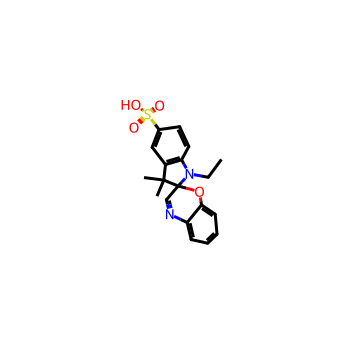 CCN1c2ccc(S(=O)(=O)O)cc2C(C)(C)C12C=Nc1ccccc1O2